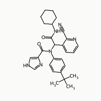 CC(C)(C)c1ccc(N(C(=O)c2c[nH]cn2)C(C(=O)NC2CCCCC2)c2cccnc2C#N)cc1